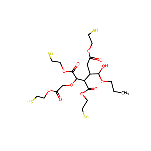 CCCOC(O)C(CC(=O)OCCS)C(C(=O)OCCS)C(OCC(=O)OCCS)C(=O)OCCS